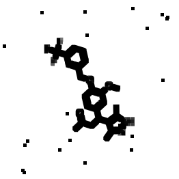 COc1cc(C(CC(C)=O)c2c(C)n[nH]c2C)ccc1OCc1cccc(C(F)(F)F)c1